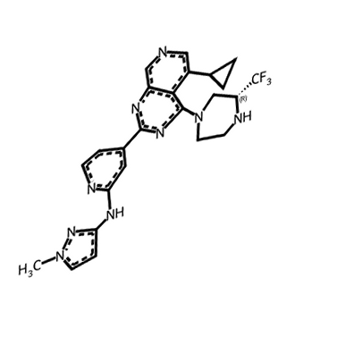 Cn1ccc(Nc2cc(-c3nc(N4CCN[C@@H](C(F)(F)F)C4)c4c(C5CC5)cncc4n3)ccn2)n1